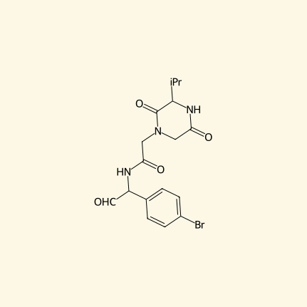 CC(C)C1NC(=O)CN(CC(=O)NC(C=O)c2ccc(Br)cc2)C1=O